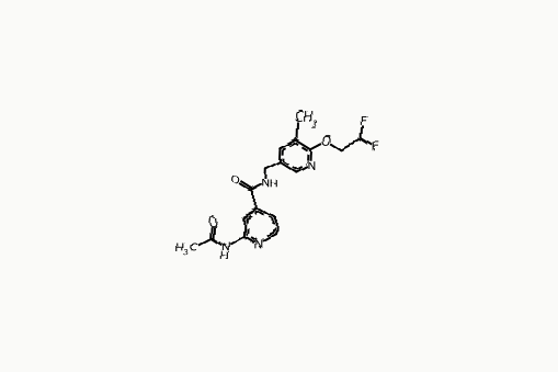 CC(=O)Nc1cc(C(=O)NCc2cnc(OCC(F)F)c(C)c2)ccn1